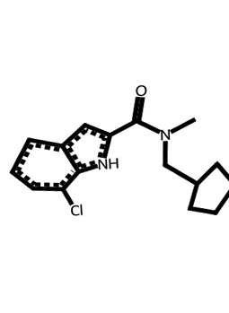 CN(CC1CCCC1)C(=O)c1cc2cccc(Cl)c2[nH]1